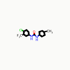 Cc1ccc(NC(=O)Nc2ccc(Cl)c(C(F)(F)F)c2)cc1